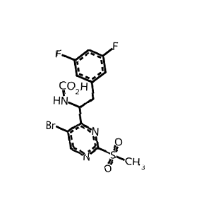 CS(=O)(=O)c1ncc(Br)c(C(Cc2cc(F)cc(F)c2)NC(=O)O)n1